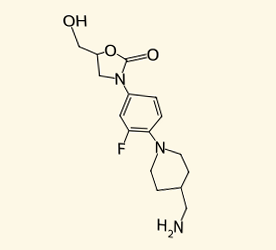 NCC1CCN(c2ccc(N3CC(CO)OC3=O)cc2F)CC1